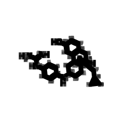 N=C(N)Nc1ccc(N[C@@H]2CC[C@@]3(O)[C@H]4Cc5ccc(O)cc5[C@@]3(CCN4CC3CC3)C2)cc1